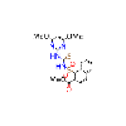 COC(=O)c1ccc2ccccc2c1S(=O)(=O)NC(=S)Nc1nc(OC)cc(OC)n1